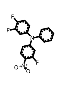 O=[N+]([O-])c1ccc(N(c2ccccc2)c2ccc(F)c(F)c2)cc1F